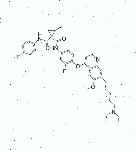 CCN(CC)CCCCCc1cc2nccc(Oc3ccc(NC(=O)[C@]4(C(=O)Nc5ccc(F)cc5)C[C@H]4C)cc3F)c2cc1OC